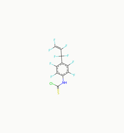 FC(F)=C(F)C(F)(F)c1c(F)c(F)c(NC(=S)Cl)c(F)c1F